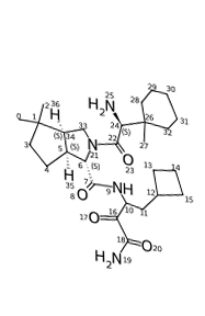 CC1(C)CC[C@@H]2[C@@H](C(=O)NC(CC3CCC3)C(=O)C(N)=O)N(C(=O)[C@@H](N)C3(C)CCCCC3)C[C@@H]21